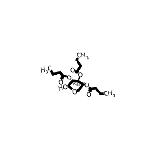 CCCC(=O)O[C@H]1[C@@H](OC(=O)CCC)COC(O)[C@@H]1OC(=O)CCC